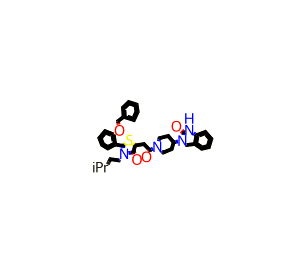 CC(C)CCN1C(=O)C(CC(=O)N2CCC(N3Cc4ccccc4NC3=O)CC2)SC1c1ccccc1OCc1ccccc1